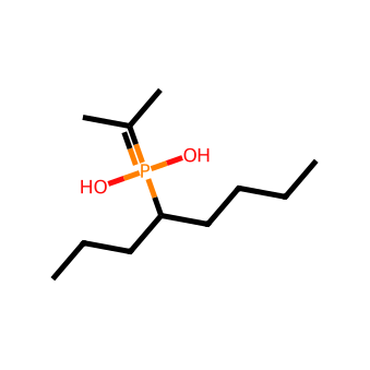 CCCCC(CCC)P(O)(O)=C(C)C